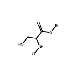 CCOC(=O)[C@H](CO)NCl